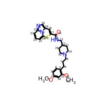 COc1ccc(CCCN2CCC(CNC(=O)C3=Cc4cnc5cccc(n45)S3)CC2)c(OC)c1